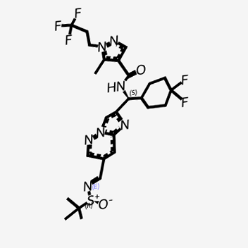 Cc1c(C(=O)N[C@H](c2cn3ncc(/C=N/[S@@+]([O-])C(C)(C)C)cc3n2)C2CCC(F)(F)CC2)cnn1CCC(F)(F)F